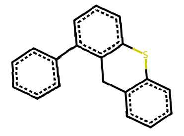 c1ccc(-c2cccc3c2Cc2ccccc2S3)cc1